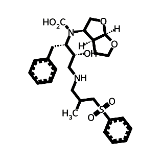 CC(CNC[C@@H](O)[C@H](Cc1ccccc1)N(C(=O)O)[C@H]1CO[C@H]2OCC[C@H]21)CS(=O)(=O)c1ccccc1